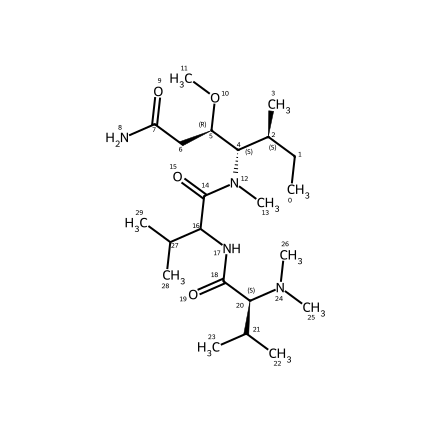 CC[C@H](C)[C@@H]([C@@H](CC(N)=O)OC)N(C)C(=O)C(NC(=O)[C@H](C(C)C)N(C)C)C(C)C